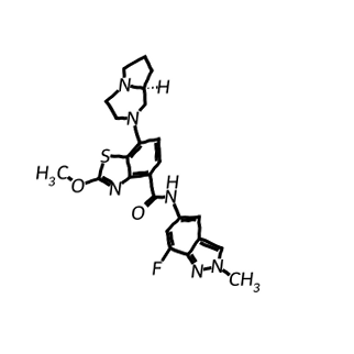 COc1nc2c(C(=O)Nc3cc(F)c4nn(C)cc4c3)ccc(N3CCN4CCC[C@H]4C3)c2s1